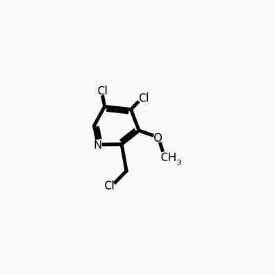 COc1c(CCl)ncc(Cl)c1Cl